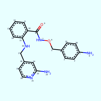 Nc1ccc(CONC(=O)c2ccccc2NCc2ccnc(N)c2)cc1